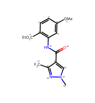 CCOC(=O)c1ccc(OC)cc1NC(=O)c1cn(C)nc1C(F)(F)F